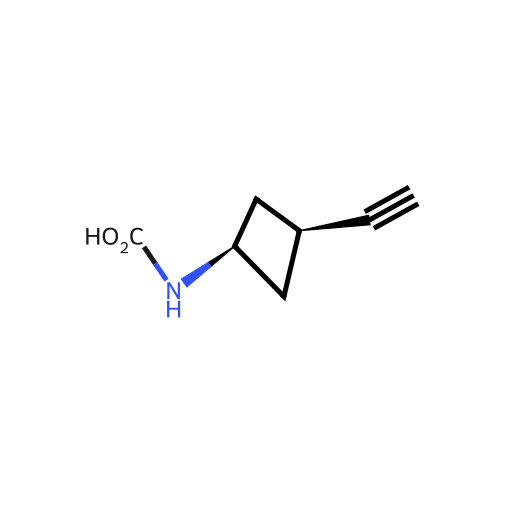 C#C[C@H]1C[C@@H](NC(=O)O)C1